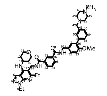 CCc1nc2c(cnn2CC)c(NC2CCOCC2)c1CNC(=O)c1cccc(C(=O)NCc2ccc(OC)c(-c3cccc(CN4CCN(C)CC4)c3)c2)c1